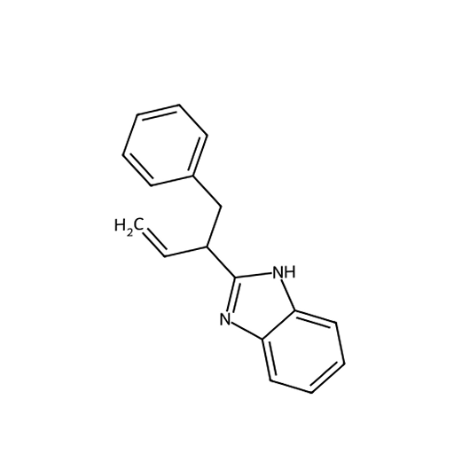 C=CC(Cc1ccccc1)c1nc2ccccc2[nH]1